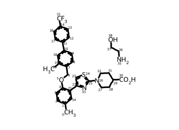 Cc1ccc(OCc2ccc(-c3ccc(C(F)(F)F)cc3)cc2C)c(-c2csc(N3CCC(C(=O)O)CC3)n2)c1.NCCO